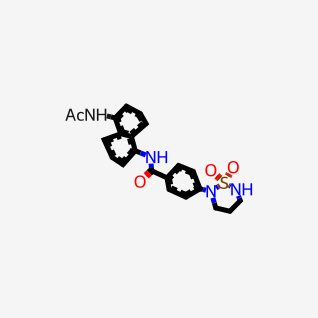 CC(=O)Nc1cccc2c(NC(=O)c3ccc(N4CCCNS4(=O)=O)cc3)cccc12